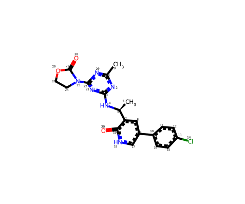 Cc1nc(N[C@@H](C)c2cc(-c3ccc(Cl)cc3)c[nH]c2=O)nc(N2CCOC2=O)n1